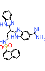 N=C(N)c1ccc2[nH]c(C(CCNS(=O)(=O)c3cccc4ccccc34)c3nc4ccccc4[nH]3)nc2c1